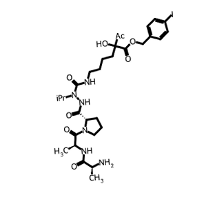 CC(=O)C(O)(CCCCNC(=O)N(NC(=O)[C@@H]1CCCN1C(=O)[C@H](C)NC(=O)[C@H](C)N)C(C)C)C(=O)OCc1ccc(I)cc1